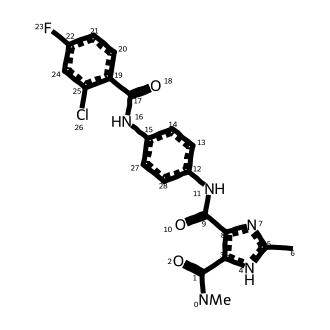 CNC(=O)c1[nH]c(C)nc1C(=O)Nc1ccc(NC(=O)c2ccc(F)cc2Cl)cc1